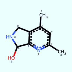 Cc1cc(C)c2c(n1)C(O)NC2